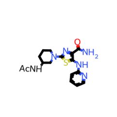 CC(=O)NC1CCCN(c2nc(C(N)=O)c(Nc3ccccn3)s2)C1